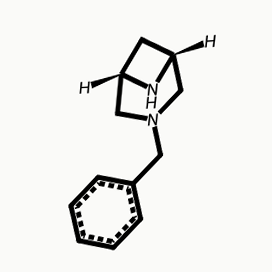 c1ccc(CN2C[C@H]3C[C@@H](C2)N3)cc1